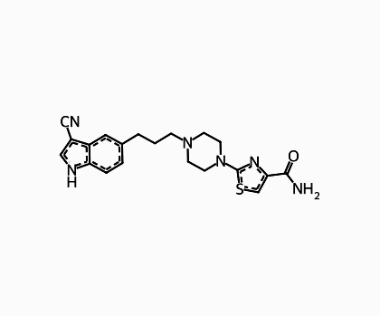 N#Cc1c[nH]c2ccc(CCCN3CCN(c4nc(C(N)=O)cs4)CC3)cc12